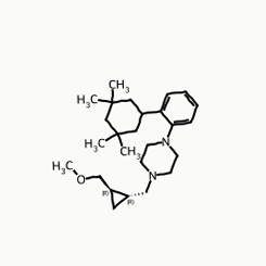 COC[C@@H]1C[C@H]1CN1CCN(c2ccccc2C2CC(C)(C)CC(C)(C)C2)CC1